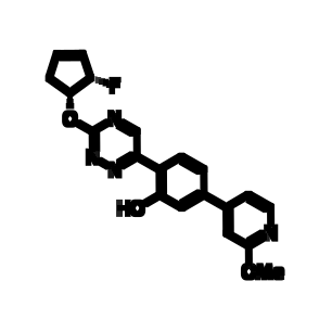 COc1cc(-c2ccc(-c3cnc(O[C@@H]4CC=C[C@@H]4F)nn3)c(O)c2)ccn1